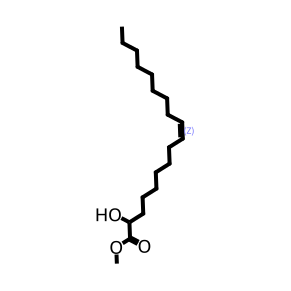 CCCCCCCC/C=C\CCCCCCC(O)C(=O)OC